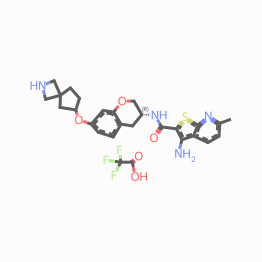 Cc1ccc2c(N)c(C(=O)N[C@H]3COc4cc(OC5CCC6(CNC6)C5)ccc4C3)sc2n1.O=C(O)C(F)(F)F